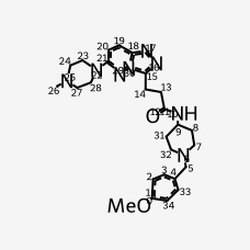 COc1ccc(CN2CCC(NC(=O)CCc3nnc4ccc(N5CCN(C)CC5)nn34)CC2)cc1